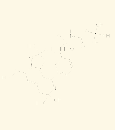 COc1cc2c(c3c1OC(C)(C)C3)C(c1cccc(NS(=O)(=O)NC(=O)OC(C)(C)C)c1)=NC(C)(C)C2